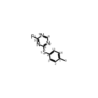 Cc1ccc(Sc2n[c]nc(F)n2)cc1